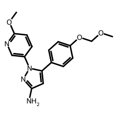 COCOc1ccc(-c2cc(N)nn2-c2ccc(OC)nc2)cc1